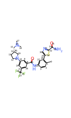 Cc1ccc(NC(=O)c2cc(N3CC[C@H](CN(C)C)C3)cc(C(F)(F)F)c2)cc1-c1cnc(C(N)=O)s1